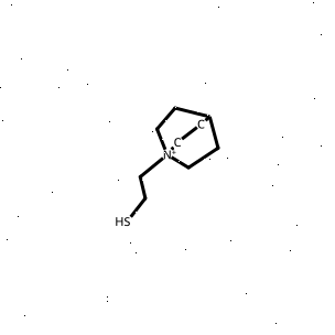 SCC[N+]12CCC(CC1)CC2